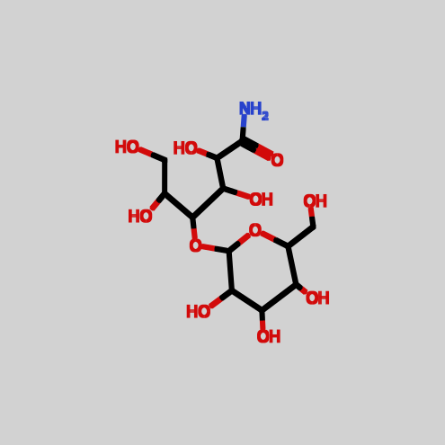 NC(=O)C(O)C(O)C(OC1OC(CO)C(O)C(O)C1O)C(O)CO